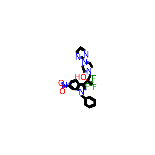 O=[N+]([O-])c1ccc2c(C(O)(CN3CCN(c4ncccn4)CC3)C(F)(F)F)cn(Cc3ccccc3)c2c1